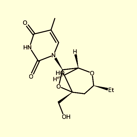 CC[C@H]1C[C@]2(CO)O[C@@H](n3cc(C)c(=O)[nH]c3=O)[C@H](O1)[C@@H]2O